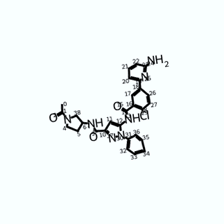 CC(=O)N1CCC(NC(=O)c2cc(NC(=O)c3cc(-c4cccc(N)n4)ccc3Cl)n(-c3ccccc3)n2)C1